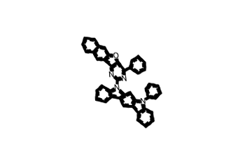 c1ccc(-c2nc(-n3c4ccccc4c4cc5c6ccccc6n(-c6ccccc6)c5cc43)nc3c2oc2cc4ccccc4cc23)cc1